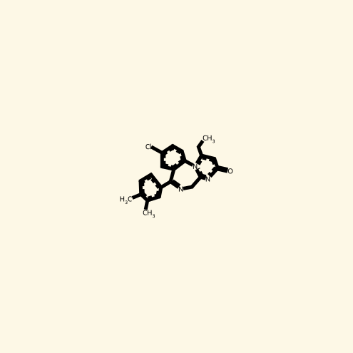 CCc1cc(=O)nc2n1-c1ccc(Cl)cc1C(c1ccc(C)c(C)c1)=NC2